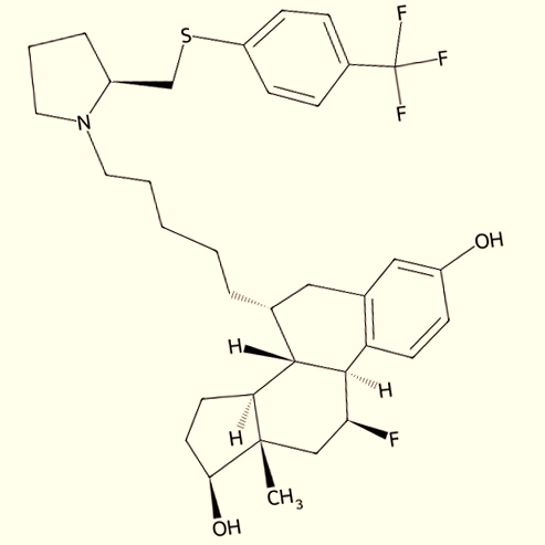 C[C@]12C[C@H](F)[C@@H]3c4ccc(O)cc4C[C@@H](CCCCCN4CCC[C@H]4CSc4ccc(C(F)(F)F)cc4)[C@H]3[C@@H]1CC[C@@H]2O